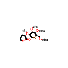 CCCCOC[C@H]1S[C@@H](OC2CCCCO2)[C@H](OCCCC)[C@@H](OCCCC)[C@@H]1OCCCC